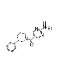 CCNc1ncc(C(=O)N2CCCC(c3ccccc3)C2)cn1